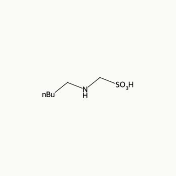 CCCCCNCS(=O)(=O)O